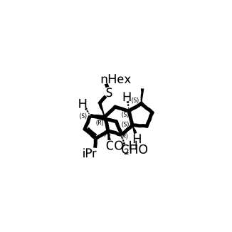 CCCCCCSC[C@]12C[C@H]3[C@@H](C)CC[C@@H]3[C@]3(C=O)C[C@H]1C=C(C(C)C)[C@]23C(=O)O